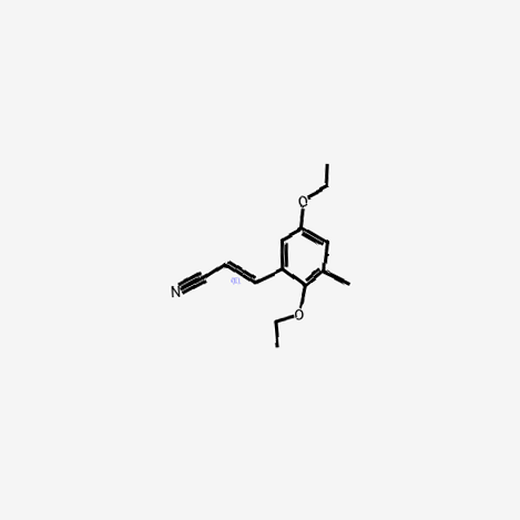 CCOc1cc(C)c(OCC)c(/C=C/C#N)c1